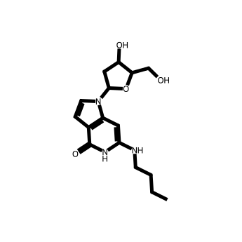 CCCCNc1cc2c(ccn2C2CC(O)C(CO)O2)c(=O)[nH]1